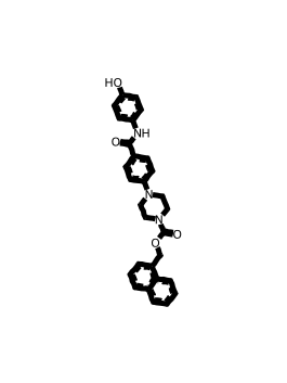 O=C(Nc1ccc(O)cc1)c1ccc(N2CCN(C(=O)OCc3cccc4ccccc34)CC2)cc1